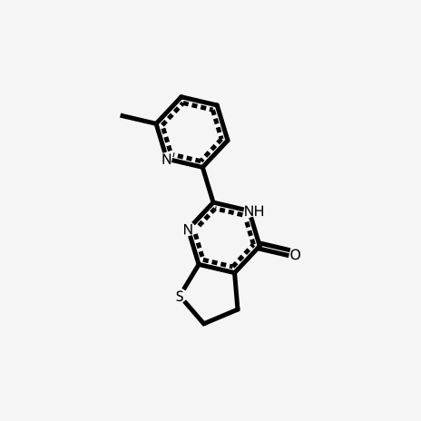 Cc1cccc(-c2nc3c(c(=O)[nH]2)CCS3)n1